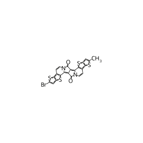 Cc1cc2sc3c(c2s1)C=CN1C(=O)C2=C4c5sc6cc(Br)sc6c5C=CN4C(=O)C2=C31